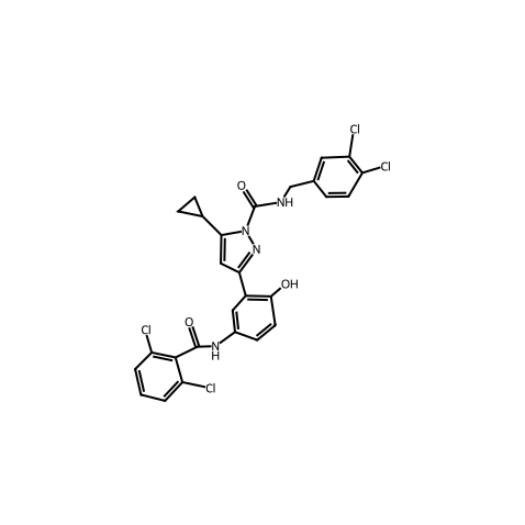 O=C(Nc1ccc(O)c(-c2cc(C3CC3)n(C(=O)NCc3ccc(Cl)c(Cl)c3)n2)c1)c1c(Cl)cccc1Cl